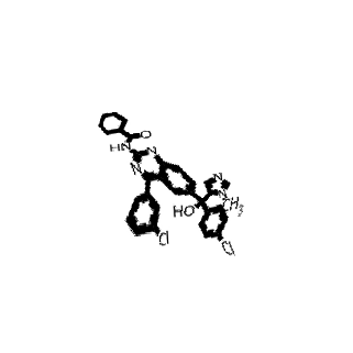 Cn1cncc1C(O)(c1ccc(Cl)cc1)c1ccc2nc(NC(=O)C3CCCCC3)nc(-c3cccc(Cl)c3)c2c1